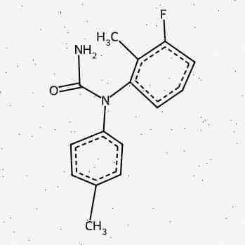 Cc1ccc(N(C(N)=O)c2cccc(F)c2C)cc1